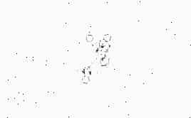 CC(C)CC(C(=O)OCc1ccccc1)(C(=O)OCc1ccccc1)[C@@H](CCCCCN1C(=O)c2ccccc2C1=O)[PH](=O)O